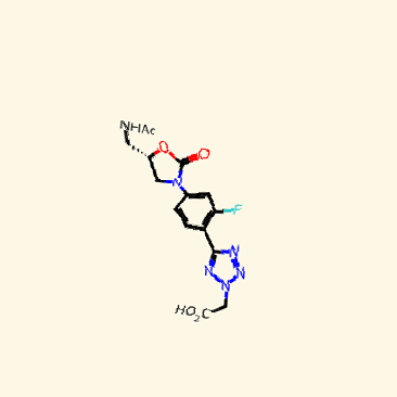 CC(=O)NC[C@H]1CN(c2ccc(-c3nnn(CC(=O)O)n3)c(F)c2)C(=O)O1